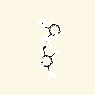 CCSc1cccnc1NN=Cc1nnc(C(F)(F)F)cc1I